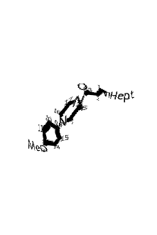 CCCCCCCC=CC(=O)N1C=CN(c2ccc(OC)cc2)C=C1